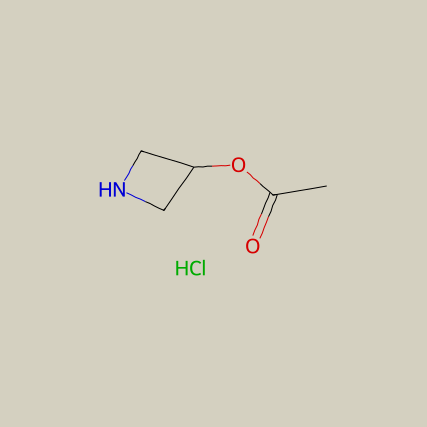 CC(=O)OC1CNC1.Cl